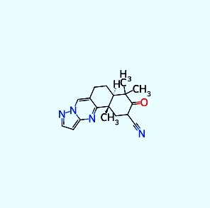 CC1(C)C(=O)C(C#N)C[C@]2(C)c3nc4ccnn4cc3CC[C@@H]12